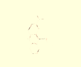 CNc1c2c(nc3ccc([N+](=O)[O-])cc13)CCC=C2